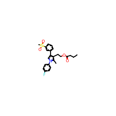 CCCC(=O)OCCc1c(-c2cccc(S(C)(=O)=O)c2)cn(-c2ccc(F)cc2)c1C